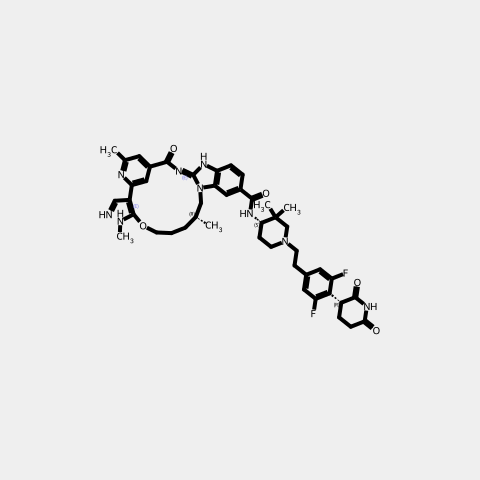 CN/C1=C(\C=N)c2cc(cc(C)n2)C(=O)/N=C2\Nc3ccc(C(=O)N[C@H]4CCN(CCc5cc(F)c([C@H]6CCC(=O)NC6=O)c(F)c5)CC4(C)C)cc3N2C[C@H](C)CCCO1